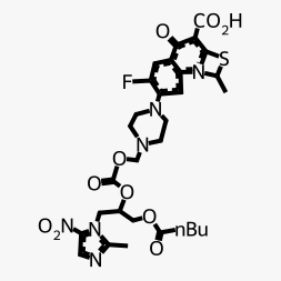 CCCCC(=O)OCC(Cn1c([N+](=O)[O-])cnc1C)OC(=O)OCN1CCN(c2cc3c(cc2F)c(=O)c(C(=O)O)c2n3C(C)S2)CC1